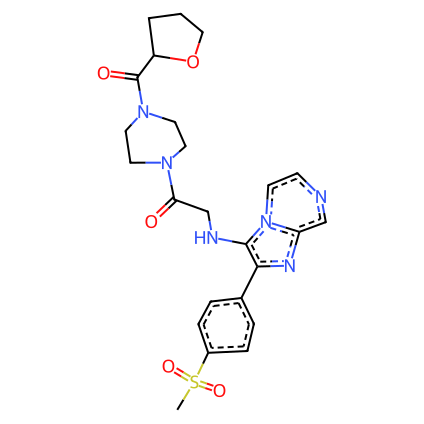 CS(=O)(=O)c1ccc(-c2nc3cnccn3c2NCC(=O)N2CCN(C(=O)C3CCCO3)CC2)cc1